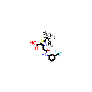 CC(C)(C)c1nc(CC(=O)Nc2cccc(C(F)(F)F)c2)c(C(=O)O)s1